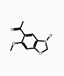 COc1cc2c(cc1C(C)=O)[S+]([O-])CO2